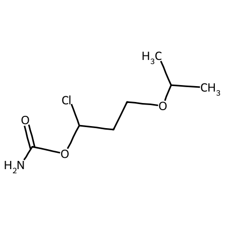 CC(C)OCCC(Cl)OC(N)=O